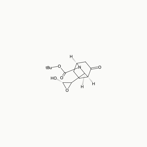 CC(C)(C)OC(=O)N1[C@H]2CC[C@H](C(=O)C2)[C@H]1C1O[C@@H]1O